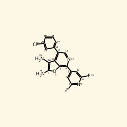 Nc1oc2c(-c3cc(F)nc(F)c3)ncc(-c3cccc(Cl)c3)c2c1N